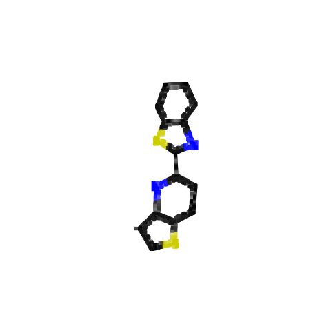 [c]1csc2ccc(-c3nc4ccccc4s3)nc12